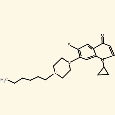 CCCCCCN1CCN(c2cc3c(cc2F)c(=O)ccn3C2CC2)CC1